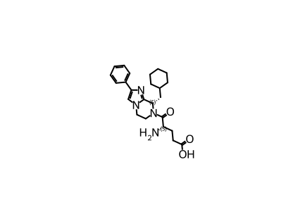 N[C@@H](CCC(=O)O)C(=O)N1CCn2cc(-c3ccccc3)nc2[C@@H]1CC1CCCCC1